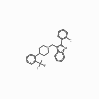 FC(F)(F)c1ccccc1C1CCN(Cc2c(-c3ccccc3Cl)[nH]c3ccccc23)CC1